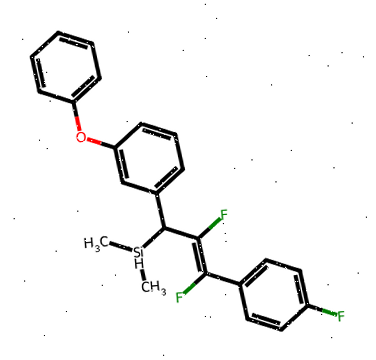 C[SiH](C)C(C(F)=C(F)c1ccc(F)cc1)c1cccc(Oc2ccccc2)c1